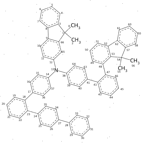 CC1(C)c2ccccc2-c2ccc(N(c3ccc(-c4ccccc4-c4ccc(-c5ccccc5)cc4)cc3)c3ccc(-c4ccccc4-c4cccc5c4C(C)(C)c4ccccc4-5)cc3)cc21